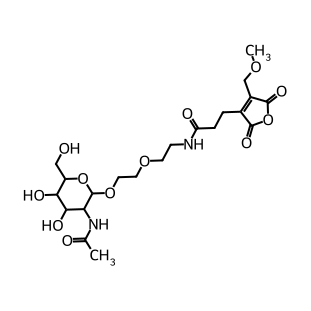 COCC1=C(CCC(=O)NCCOCCOC2OC(CO)C(O)C(O)C2NC(C)=O)C(=O)OC1=O